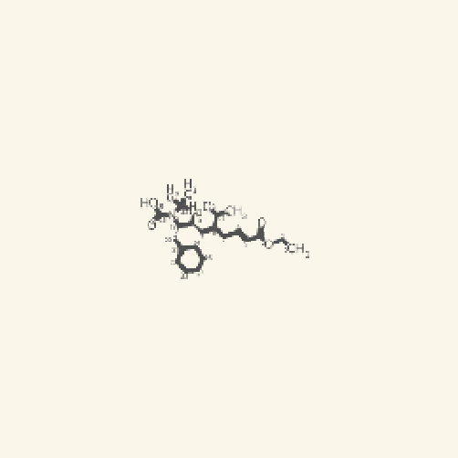 CCOC(=O)C=CCC(C[C@@H]1OC(C)(C)N(C(=O)O)[C@H]1CC1CCCCC1)C(C)C